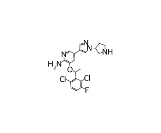 CC(Oc1cc(-c2cnn(C3CCNC3)c2)cnc1N)c1c(Cl)ccc(F)c1Cl